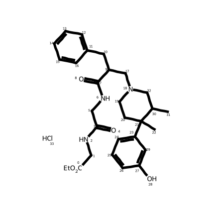 CCOC(=O)CNC(=O)CNC(=O)C(Cc1ccccc1)CN1CCC(C)(c2cccc(O)c2)C(C)C1.Cl